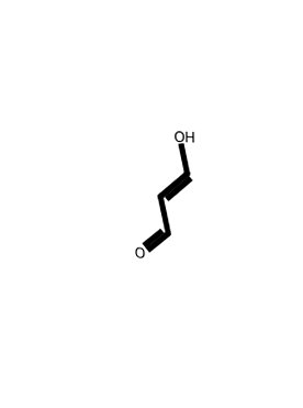 O=C/C=C/O